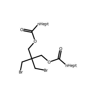 CCCCCCCC(=O)OCC(CBr)(CBr)COC(=O)CCCCCCC